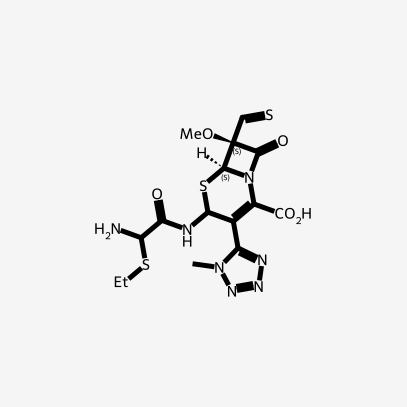 CCSC(N)C(=O)NC1S[C@@H]2N(C(=O)[C@]2(C=S)OC)C(C(=O)O)=C1c1nnnn1C